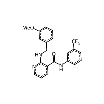 COc1cccc(CNc2ncccc2C(=O)Nc2cccc(C(F)(F)F)c2)c1